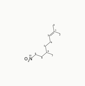 CC(C)=CCCC(C)CC[N+](=O)[O-]